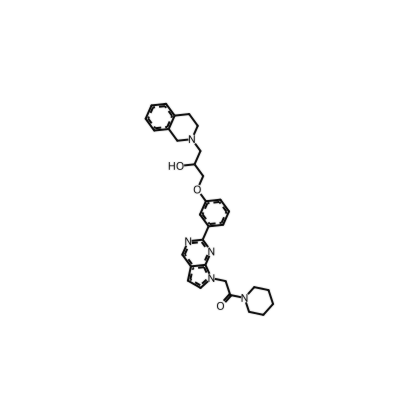 O=C(Cn1ccc2cnc(-c3cccc(OCC(O)CN4CCc5ccccc5C4)c3)nc21)N1CCCCC1